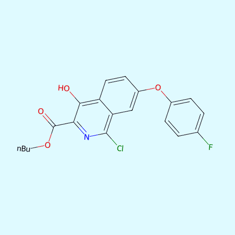 CCCCOC(=O)c1nc(Cl)c2cc(Oc3ccc(F)cc3)ccc2c1O